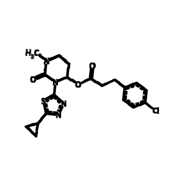 CN1CCC(OC(=O)CCc2ccc(Cl)cc2)N(c2nnc(C3CC3)s2)C1=O